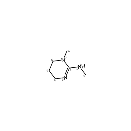 CNC1=NCCCN1C